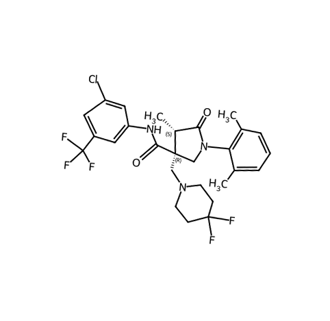 Cc1cccc(C)c1N1C[C@@](CN2CCC(F)(F)CC2)(C(=O)Nc2cc(Cl)cc(C(F)(F)F)c2)[C@H](C)C1=O